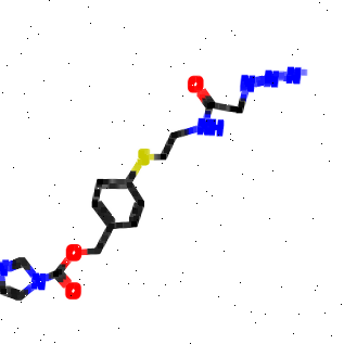 [N-]=[N+]=NCC(=O)NCCSc1ccc(COC(=O)n2ccnc2)cc1